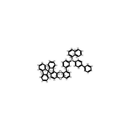 c1ccc(-c2ccc(N(c3cccc(-c4cccc5c4Oc4c(ccc6c4-c4ccccc4C64c6ccccc6-c6ccccc64)O5)c3)c3cccc4ccccc34)cc2)cc1